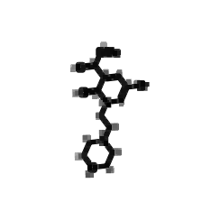 COC(=O)c1cc(Br)cn(CCN2CCOCC2)c1=O